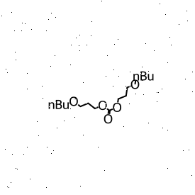 CCCCOCCCOC(=O)OCCCOCCCC